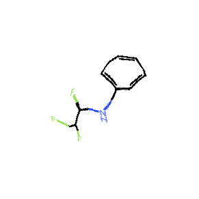 FC(F)C(F)Nc1ccccc1